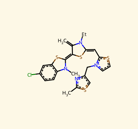 C=C1/C(=C2\Sc3cc(Cl)ccc3N2C)S/C(=C\c2scc[n+]2Cc2csc(C)n2)N1CC